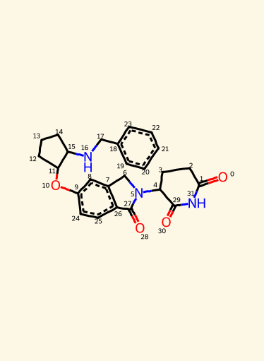 O=C1CCC(N2Cc3cc(OC4CCCC4NCc4ccccc4)ccc3C2=O)C(=O)N1